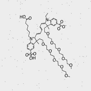 CCN1/C(=C/C=C/C=C/C2=[N+](CCCCCC(=O)O)c3ccc(S(=O)(=O)O)cc3C2(C)CCOCCOCCOCCOCCOC)C(C)(CCOCCOCCOCCOCCOC)c2cc(S(=O)(=O)[O-])ccc21